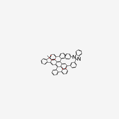 CC1(C)c2ccccc2-c2cc3c(-c4ccccc4-c4ccccc4)c4ccc(-c5cccc(-c6nc7ccccc7n6-c6ccccc6)c5)cc4c(-c4ccccc4-c4ccccc4)c3cc21